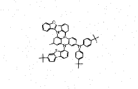 CC1C=C2C3=C(C1)n1c4c(cccc4c4oc5ccccc5c41)B3c1ccc(N(c3ccc(C(C)(C)C)cc3)c3ccc(C(C)(C)C)cc3)cc1N2c1cccc2c1sc1cc(C(C)(C)C)ccc12